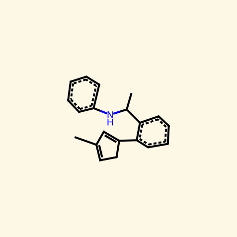 CC1=CCC(c2ccccc2C(C)Nc2ccccc2)=C1